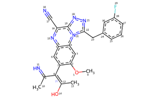 COc1cc2c(cc1/C(C(C)=N)=C(\C)O)nc(C#N)c1nnc(Cc3cccc(F)c3)n12